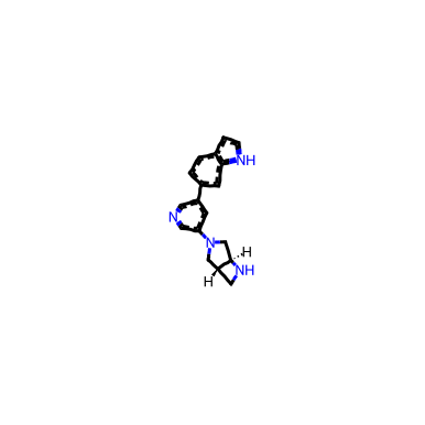 c1cc2ccc(-c3cncc(N4C[C@H]5CN[C@@H]5C4)c3)cc2[nH]1